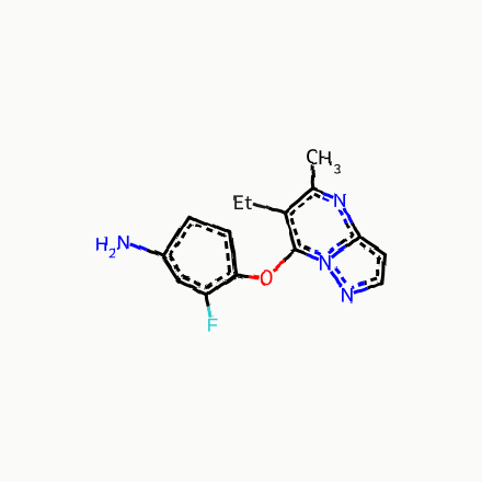 CCc1c(C)nc2ccnn2c1Oc1ccc(N)cc1F